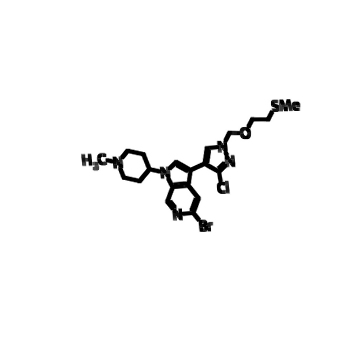 CSCCOCn1cc(-c2cn(C3CCN(C)CC3)c3cnc(Br)cc23)c(Cl)n1